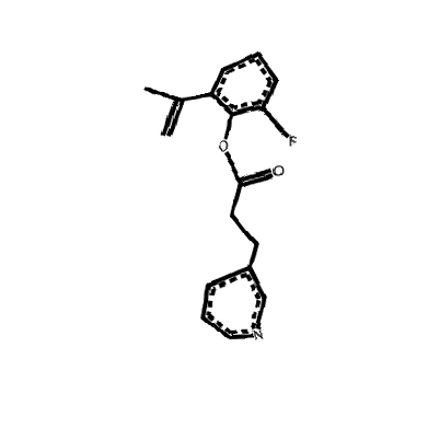 C=C(C)c1cccc(F)c1OC(=O)CCc1cccnc1